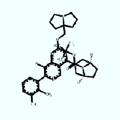 Cc1cccc(-c2ncc3c(N4C[C@H]5CC[C@@H](C4)N5C(=O)OC(C)(C)C)nc(OCC45CCCN4CCC5)nc3c2F)c1C